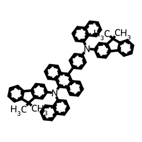 CC1(C)c2ccccc2-c2ccc(N(c3ccc(-c4c5ccccc5c(N(c5ccc6c(c5)C(C)(C)c5ccccc5-6)c5cccc6ccccc56)c5ccccc45)cc3)c3cccc4ccccc34)cc21